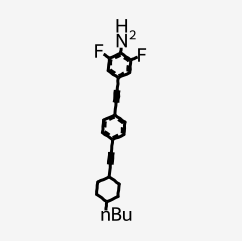 CCCCC1CCC(C#Cc2ccc(C#Cc3cc(F)c(N)c(F)c3)cc2)CC1